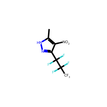 Cc1[nH]nc(C(F)(F)C(F)(F)C(F)(F)F)c1[N+](=O)[O-]